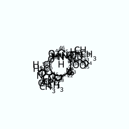 CCn1c(-c2cccnc2[C@H](C)OC)c2c3cc(ccc31)-c1csc(n1)C[C@H](NC(=O)C(C1CCCO1)N(C)C(C)=O)C(=O)N1CCC[C@H](N1)C(=O)OCC(C)(C)C2